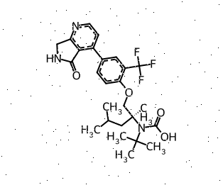 CC(C)C[C@@](C)(COc1ccc(-c2ccnc3c2C(=O)NC3)cc1C(F)(F)F)N(C(=O)O)C(C)(C)C